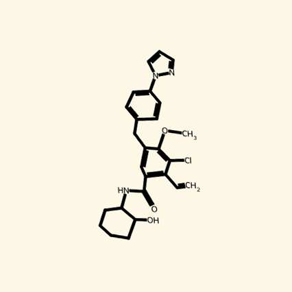 C=Cc1c(C(=O)NC2CCCCC2O)cc(Cc2ccc(-n3cccn3)cc2)c(OC)c1Cl